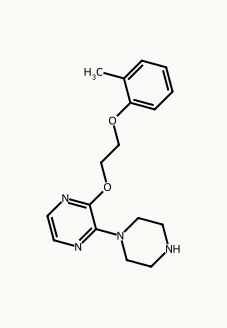 Cc1ccccc1OCCOc1nccnc1N1CCNCC1